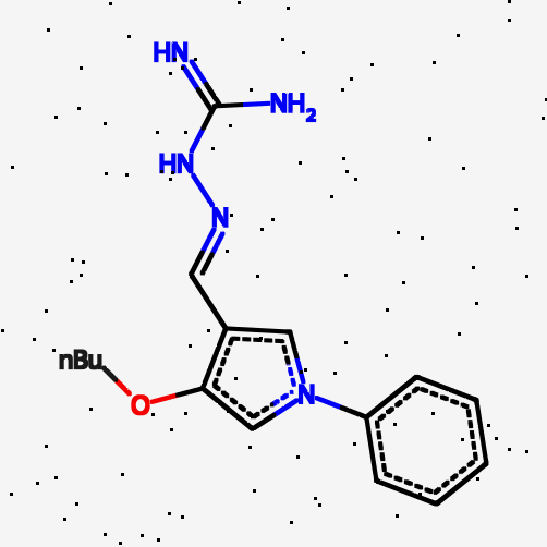 CCCCOc1cn(-c2ccccc2)cc1C=NNC(=N)N